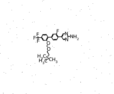 CS(C)(C)CCOCOc1cc(C(F)(F)F)ccc1-c1ccc(-c2cnc(N)nc2)c(F)c1